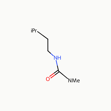 [CH2]NC(=O)NCCC(C)C